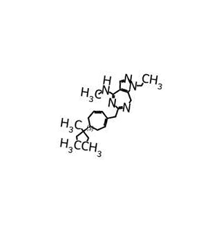 CCn1ncc2c1CN=C(CC1=CC[C@@H](C(C)(CC)CC)CC=C1)N=C2NC